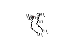 CCCCCCCC/C=C\CCCCCCCC(=O)C1(C)CC1(C)C.CCCCCCCC/C=C\CCCCCCCC(N)=O.Cl